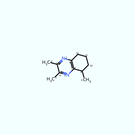 Cc1nc2c(nc1C)C(C)CCC2